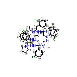 CCN(CC)C(CNC(CNC(CNc1cc(F)[c]cc1F)(c1cccc(F)c1)N1CCCCC1)(c1cc(F)ccc1F)N(CC)CC)(NCC(c1cccc(F)c1)N1CCCC1)c1cccc(F)c1